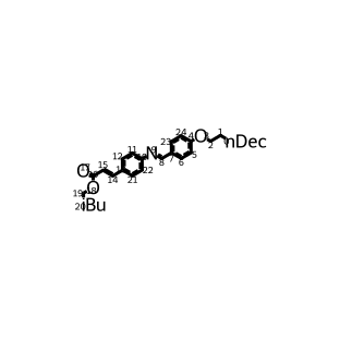 CCCCCCCCCCCCOc1ccc(C=Nc2ccc(C=CC(=O)OCC(C)CC)cc2)cc1